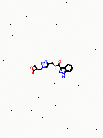 O=C(NCc1cn(CC2COC2=O)nn1)c1n[nH]c2ccccc12